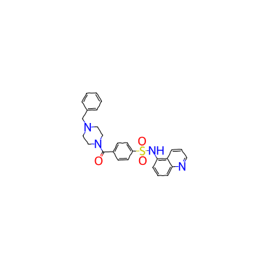 O=C(c1ccc(S(=O)(=O)Nc2cccc3ncccc23)cc1)N1CCN(Cc2ccccc2)CC1